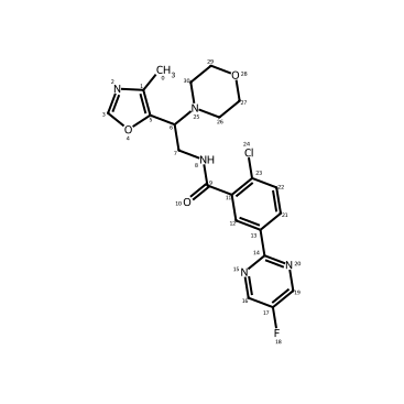 Cc1ncoc1C(CNC(=O)c1cc(-c2ncc(F)cn2)ccc1Cl)N1CCOCC1